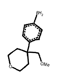 Bc1ccc(C2(COC)CCOCC2)cc1